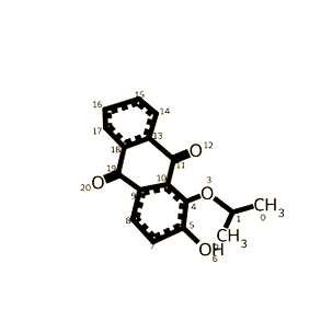 CC(C)Oc1c(O)ccc2c1C(=O)c1ccccc1C2=O